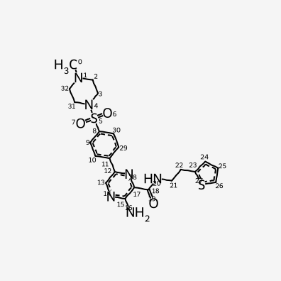 CN1CCN(S(=O)(=O)c2ccc(-c3cnc(N)c(C(=O)NCCc4cccs4)n3)cc2)CC1